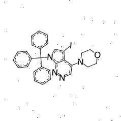 Ic1cn(C(c2ccccc2)(c2ccccc2)c2ccccc2)c2nncc(N3CCOCC3)c12